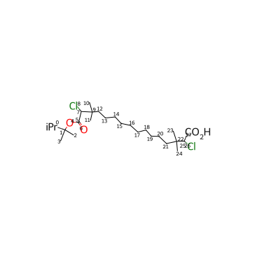 CC(C)C(C)(C)OC(=O)C(Cl)C(C)(C)CCCCCCCCCCC(C)(C)C(Cl)C(=O)O